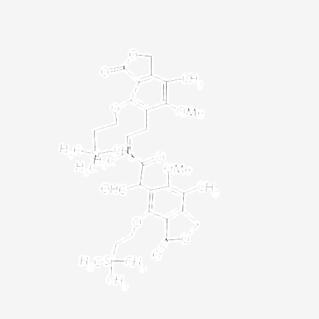 COc1c(C)c2c(c(OCC[Si](C)(C)C)c1CC=C(C)C(=O)C(C=O)c1c(OC)c(C)c3c(c1OCC[Si](C)(C)C)C(=O)OC3)C(=O)OC2